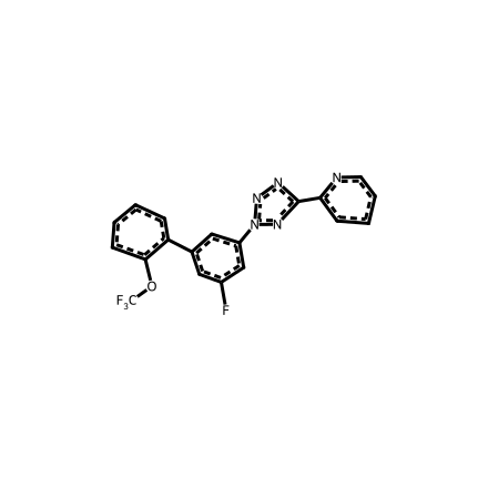 Fc1cc(-c2ccccc2OC(F)(F)F)cc(-n2nnc(-c3ccccn3)n2)c1